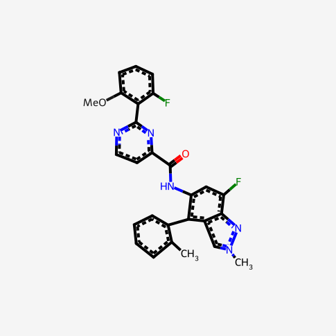 COc1cccc(F)c1-c1nccc(C(=O)Nc2cc(F)c3nn(C)cc3c2-c2ccccc2C)n1